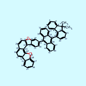 CC1(C)c2ccccc2-c2c(-c3c4ccccc4c(-c4ccc5c(c4)oc4ccc6ccc7c8ccccc8oc7c6c45)c4ccccc34)cccc21